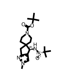 Cn1cc2c(n1)CC1(CCN(C(=O)OC(C)(C)C)CC1)[C@H]2N[S@+]([O-])C(C)(C)C